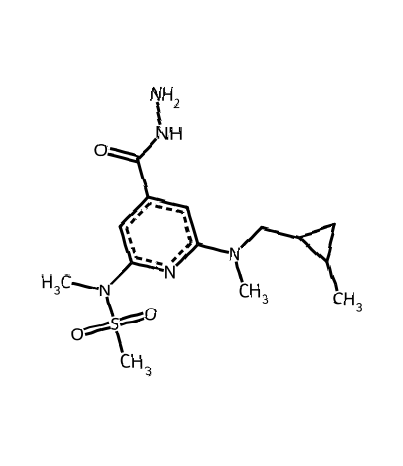 CC1CC1CN(C)c1cc(C(=O)NN)cc(N(C)S(C)(=O)=O)n1